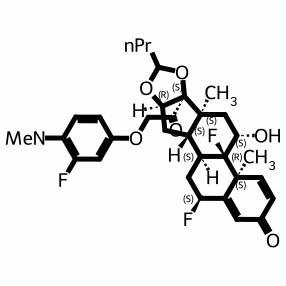 CCCC1O[C@@H]2C[C@H]3[C@@H]4C[C@H](F)C5=CC(=O)C=C[C@]5(C)[C@@]4(F)[C@@H](O)C[C@]3(C)[C@]2(C(=O)COc2ccc(NC)c(F)c2)O1